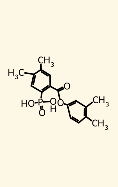 Cc1ccc(OC(=O)c2cc(C)c(C)cc2P(=O)(O)O)cc1C